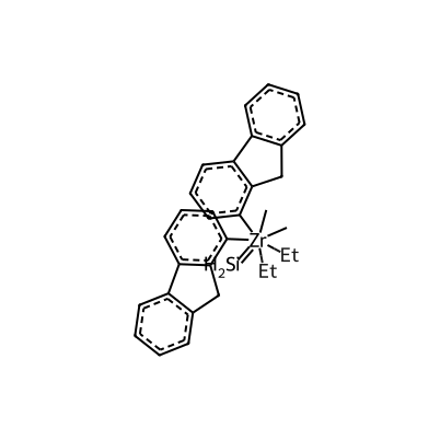 C[CH2][Zr]([CH3])([CH3])(=[SiH2])([CH2]C)([c]1cccc2c1Cc1ccccc1-2)[c]1cccc2c1Cc1ccccc1-2